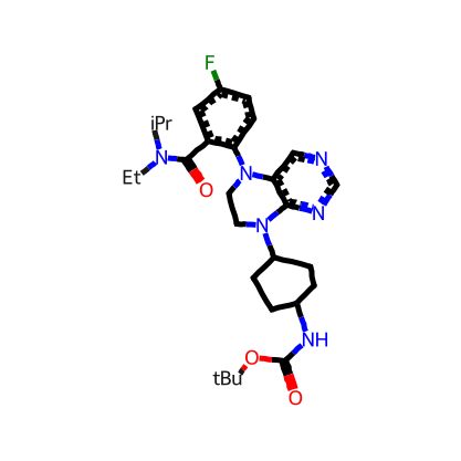 CCN(C(=O)c1cc(F)ccc1N1CCN(C2CCC(NC(=O)OC(C)(C)C)CC2)c2ncncc21)C(C)C